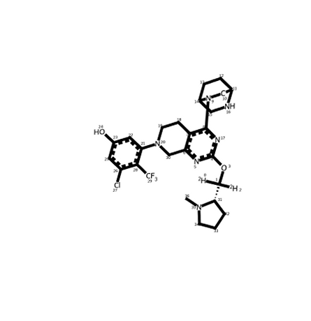 [2H]C([2H])(Oc1nc2c(c(N3CC4CCC3CN4)n1)CCN(c1cc(O)cc(Cl)c1C(F)(F)F)C2)[C@@H]1CCCN1C